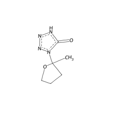 CC1(n2nn[nH]c2=O)CCCO1